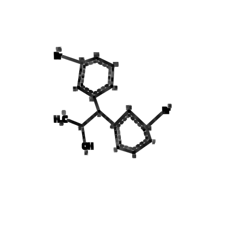 CC(O)C(c1cccc(Br)c1)c1cccc(Br)c1